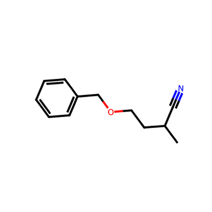 CC(C#N)CCOCc1ccccc1